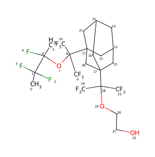 CC(F)(F)C(C)(F)OC(C(F)(F)F)(C(F)(F)F)C12CC3CC(CC(C(OCCO)(C(F)(F)F)C(F)(F)F)(C3)C1)C2